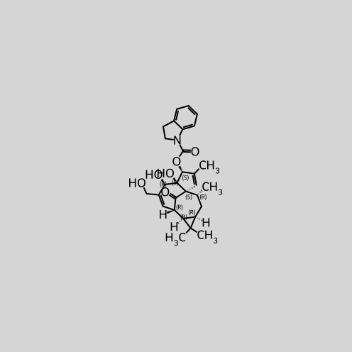 CC1=C[C@]23C(=O)[C@@H](C=C(CO)[C@@H](O)[C@]2(O)[C@H]1OC(=O)N1CCc2ccccc21)[C@H]1[C@@H](C[C@H]3C)C1(C)C